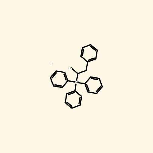 BrC(Cc1ccccc1)[P+](c1ccccc1)(c1ccccc1)c1ccccc1.[I-]